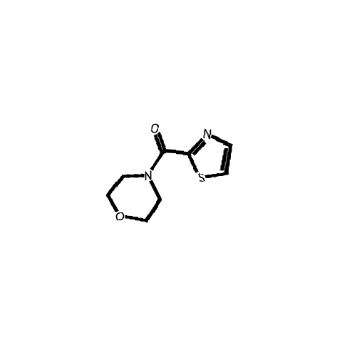 O=C(c1nccs1)N1CCOCC1